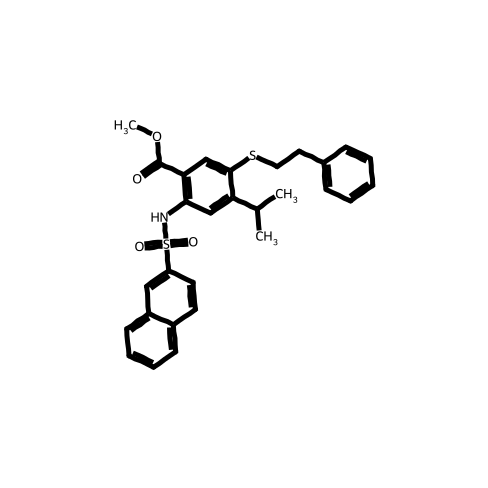 COC(=O)c1cc(SCCc2ccccc2)c(C(C)C)cc1NS(=O)(=O)c1ccc2ccccc2c1